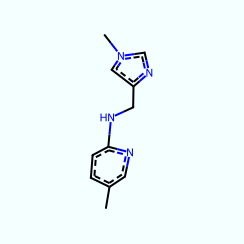 Cc1ccc(NCc2cn(C)cn2)nc1